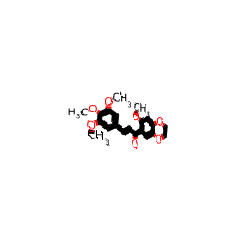 COc1cc2c(cc1C(=O)/C=C/c1cc(OC)c(OC)c(OC)c1)OCCO2